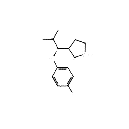 CC(C)[C@H](Oc1ccc(Cl)cc1)C1CCNC1.Cl